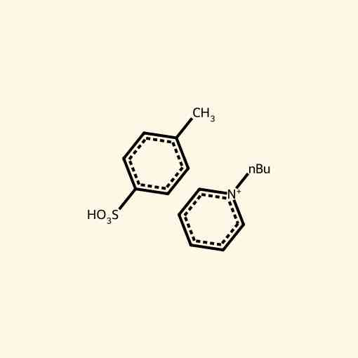 CCCC[n+]1ccccc1.Cc1ccc(S(=O)(=O)O)cc1